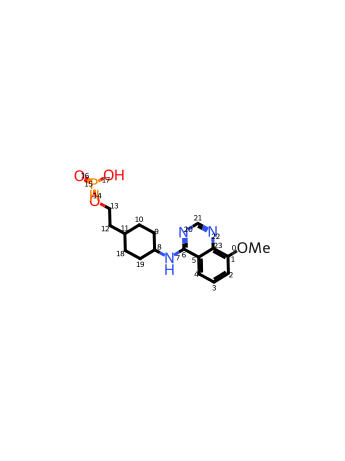 COc1cccc2c(NC3CCC(CCO[PH](=O)O)CC3)ncnc12